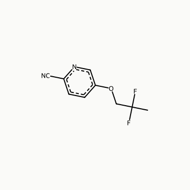 CC(F)(F)COc1ccc(C#N)nc1